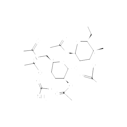 CC[C@@H]1O[C@H](OC(C)=O)[C@@H](O[C@H]2O[C@H](COC(C)=O)[C@@H](OC(C)=O)[C@@H](OC(N)=O)[C@@H]2OC(C)=O)[C@@H](OC(C)=O)[C@@H]1C